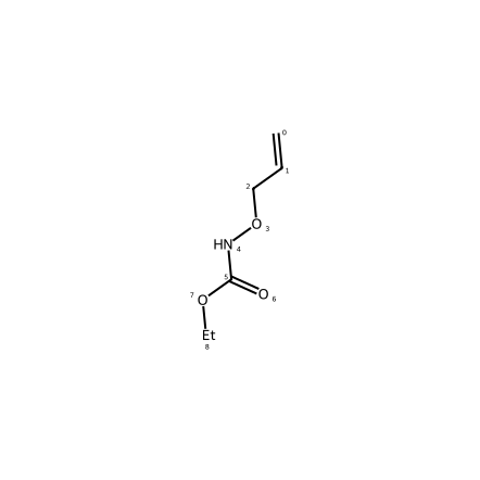 C=CCONC(=O)OCC